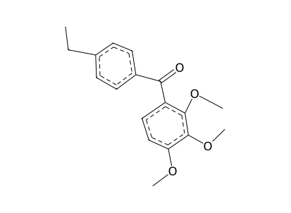 CCc1ccc(C(=O)c2ccc(OC)c(OC)c2OC)cc1